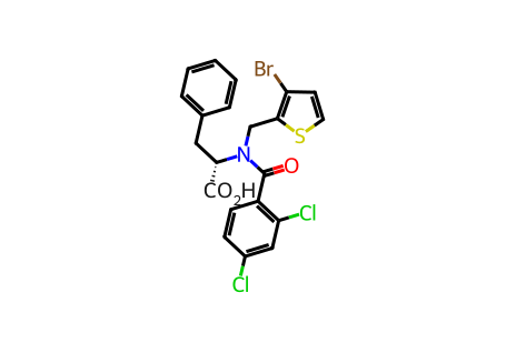 O=C(O)[C@H](Cc1ccccc1)N(Cc1sccc1Br)C(=O)c1ccc(Cl)cc1Cl